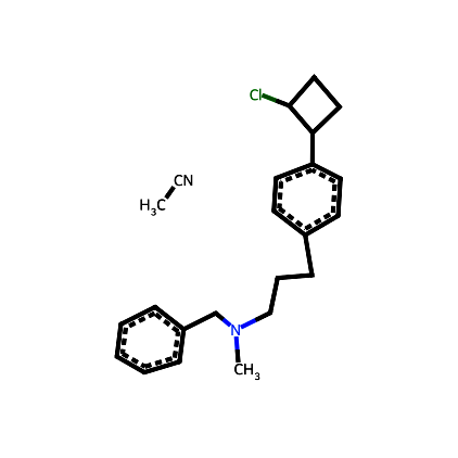 CC#N.CN(CCCc1ccc(C2CCC2Cl)cc1)Cc1ccccc1